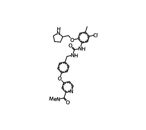 CNC(=O)c1cc(Oc2ccc(CNC(=O)Nc3cc(Cl)c(C)cc3OCC3CCCN3)cc2)ccn1